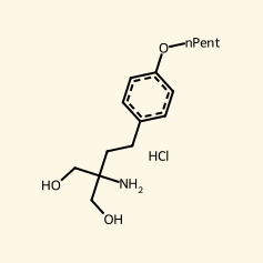 CCCCCOc1ccc(CCC(N)(CO)CO)cc1.Cl